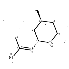 CC/C(C)=C/[C@@H]1C[C@@H](C)CCO1